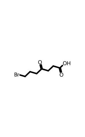 O=C(O)CCC(=O)CCCBr